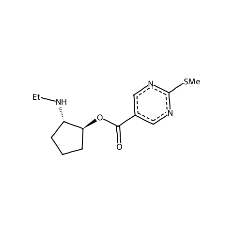 CCN[C@H]1CCC[C@@H]1OC(=O)c1cnc(SC)nc1